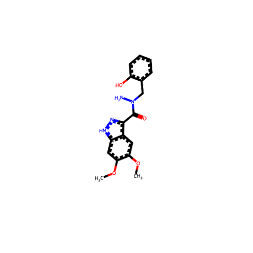 COc1cc2[nH]nc(C(=O)N(N)Cc3ccccc3O)c2cc1OC